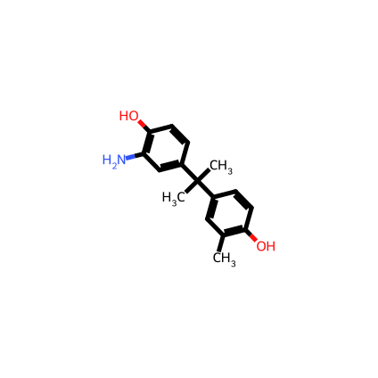 Cc1cc(C(C)(C)c2ccc(O)c(N)c2)ccc1O